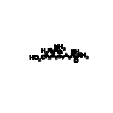 NC(=O)N(N)CCCCC[C@@H](CCC(=O)O)N(N)C(N)=O